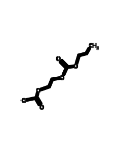 CCCOC(=O)OCCOC([O])=O